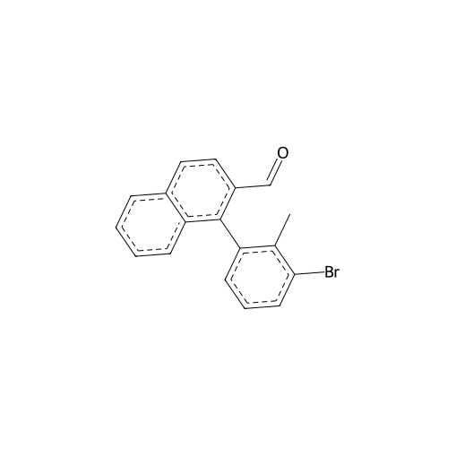 Cc1c(Br)cccc1-c1c(C=O)ccc2ccccc12